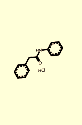 Cl.O=C(Cc1ccccc1)Nc1ccccc1